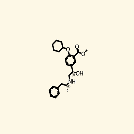 COC(=O)c1cc([C@@H](O)CN[C@H](C)Cc2ccccc2)ccc1OC1CCCCC1